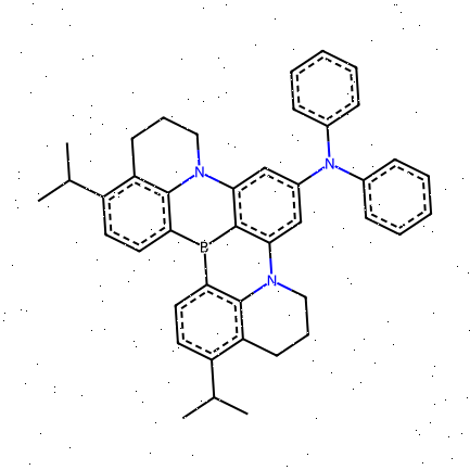 CC(C)c1ccc2c3c1CCCN3c1cc(N(c3ccccc3)c3ccccc3)cc3c1B2c1ccc(C(C)C)c2c1N3CCC2